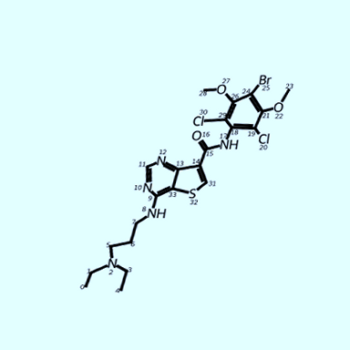 CCN(CC)CCCNc1ncnc2c(C(=O)Nc3c(Cl)c(OC)c(Br)c(OC)c3Cl)csc12